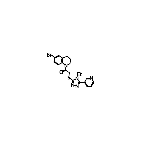 CCn1c(SCC(=O)N2CCCc3cc(Br)ccc32)nnc1-c1cccnc1